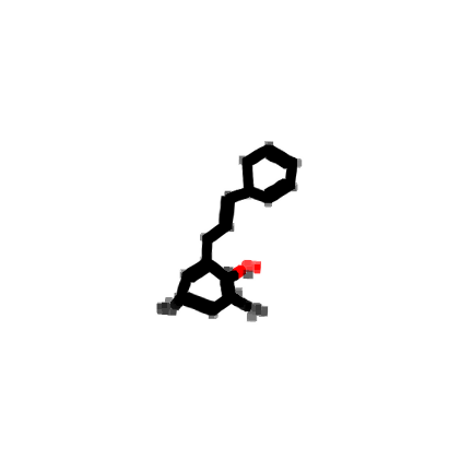 CC(C)(C)c1cc(CC=CC2C=CC=CC2)c(O)c(C(C)(C)C)c1